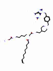 CCCCCCCC/C=C\CCCCCCCC(=O)N[C@@H](CCCCCNC(=O)CON)C(=O)NCCC1CCN(Cc2ccc(Cn3c(=O)[nH]c4c(N)nc(OCCCC)nc43)cc2)CC1